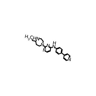 CCC1CCN(c2nccc(Nc3ccc(-c4ccncc4)cc3)n2)CCN1